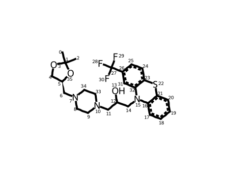 CC1(C)OC[C@H](CN2CCN(CC(O)CN3c4ccccc4Sc4ccc(C(F)(F)F)cc43)CC2)O1